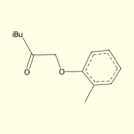 CCC(C)C(=O)COc1ccccc1C